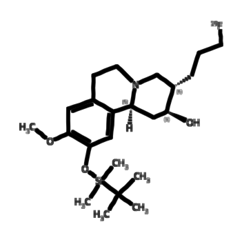 COc1cc2c(cc1O[Si](C)(C)C(C)(C)C)[C@@H]1C[C@H](O)[C@@H](CCC[19F])CN1CC2